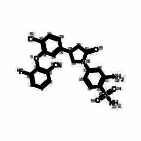 N#Cc1cccc(F)c1Oc1cc(C2CC(=O)N(c3ccc(S(N)(=O)=O)c(N)c3)C2)ccc1Cl